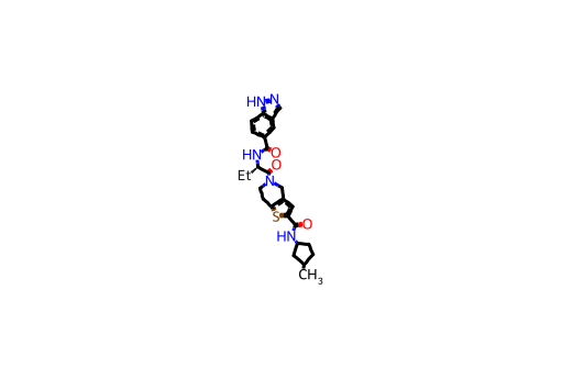 CC[C@@H](NC(=O)c1ccc2[nH]ncc2c1)C(=O)N1CCc2sc(C(=O)NC3CCC(C)C3)cc2C1